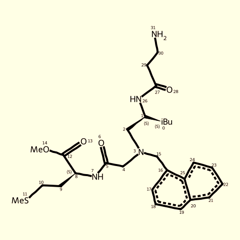 CC[C@H](C)[C@@H](CN(CC(=O)N[C@@H](CCSC)C(=O)OC)Cc1cccc2ccccc12)NC(=O)CCN